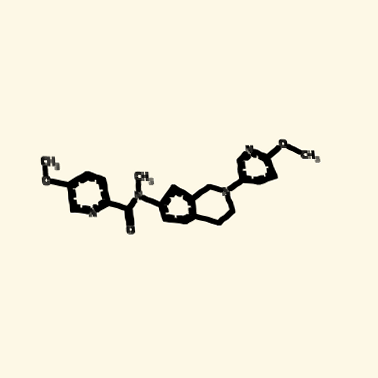 COc1ccc(C(=O)N(C)c2ccc3c(c2)CN(c2ccc(OC)nc2)CC3)nc1